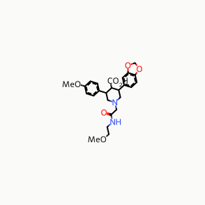 COCCNC(=O)CN1CC(c2ccc(OC)cc2)C(C(=O)O)C(c2ccc3c(c2)OCO3)C1